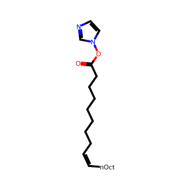 CCCCCCCC/C=C\CCCCCCCC(=O)On1ccnc1